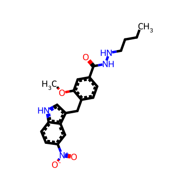 CCCCNNC(=O)c1ccc(Cc2c[nH]c3ccc([N+](=O)[O-])cc23)c(OC)c1